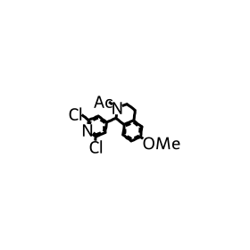 COc1ccc2c(c1)CCN(C(C)=O)C2c1cc(Cl)nc(Cl)c1